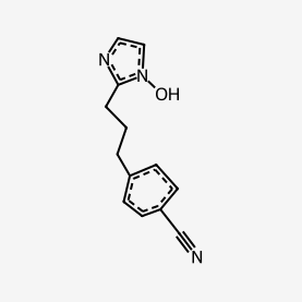 N#Cc1ccc(CCCc2nccn2O)cc1